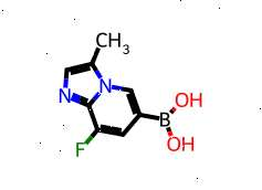 Cc1cnc2c(F)cc(B(O)O)cn12